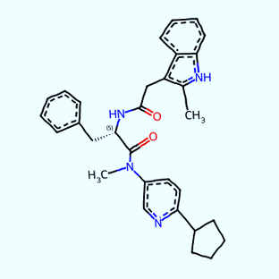 Cc1[nH]c2ccccc2c1CC(=O)N[C@@H](Cc1ccccc1)C(=O)N(C)c1ccc(C2CCCC2)nc1